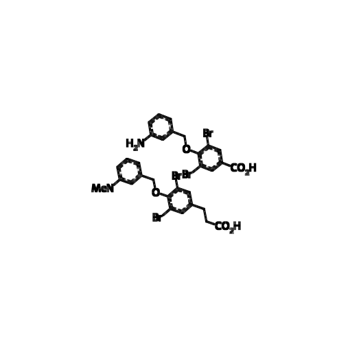 CNc1cccc(COc2c(Br)cc(CCC(=O)O)cc2Br)c1.Nc1cccc(COc2c(Br)cc(C(=O)O)cc2Br)c1